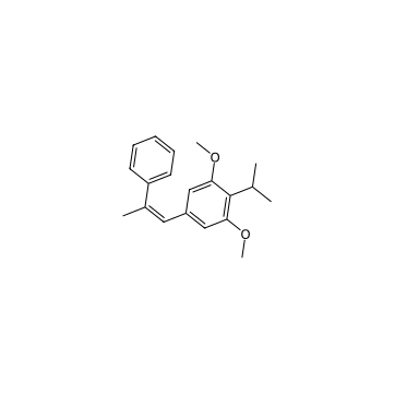 COc1cc(C=C(C)c2ccccc2)cc(OC)c1C(C)C